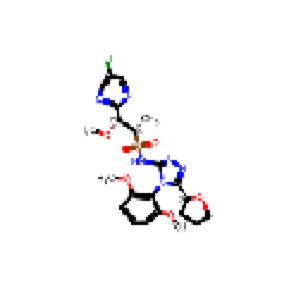 COc1cccc(OC)c1-n1c(NS(=O)(=O)[C@@H](C)[C@H](OC)c2ncc(Cl)cn2)nnc1[C@@H]1CCCO1